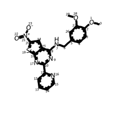 COc1ccc(CNc2nc(-c3ccccn3)nc3sc([N+](=O)[O-])cc23)cc1OC